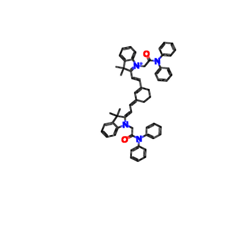 CC1(C)C(/C=C/C2=CC(=C/C=C3/N(CC(=O)N(c4ccccc4)c4ccccc4)c4ccccc4C3(C)C)/CCC2)=[N+](CC(=O)N(c2ccccc2)c2ccccc2)c2ccccc21